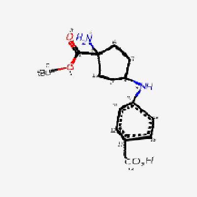 CC(C)(C)OC(=O)C1(N)CCC(Nc2ccc(C(=O)O)cc2)CC1